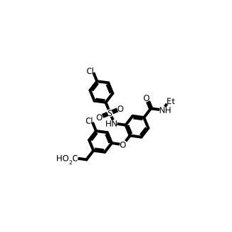 CCNC(=O)c1ccc(Oc2cc(Cl)cc(CC(=O)O)c2)c(NS(=O)(=O)c2ccc(Cl)cc2)c1